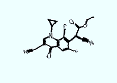 CCOC(=O)C(C#N)c1c(F)cc2c(=O)c(C#N)cn(C3CC3)c2c1F